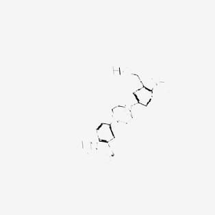 Nc1ccc(N2CCN(c3ccc(N)c(CO)c3)CC2)cc1C=O